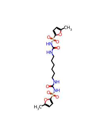 Cc1ccc(S(=O)(=O)NC(=O)NCCCCCCNC(=O)NS(=O)(=O)c2ccc(C)o2)o1